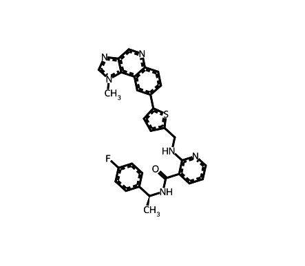 C[C@H](NC(=O)c1cccnc1NCc1ccc(-c2ccc3ncc4ncn(C)c4c3c2)s1)c1ccc(F)cc1